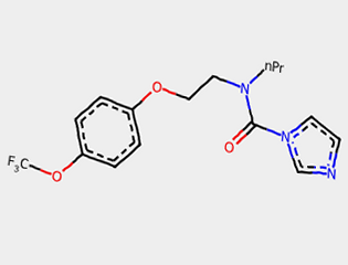 CCCN(CCOc1ccc(OC(F)(F)F)cc1)C(=O)n1ccnc1